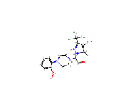 COc1ccccc1N1CCN(C(C=O)n2nc(C(F)(F)F)c(Cl)c2C)CC1